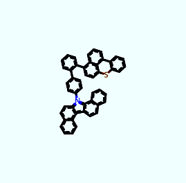 c1ccc2c(c1)Sc1ccc(-c3ccccc3-c3ccc(-n4c5ccc6ccccc6c5c5ccc6ccccc6c54)cc3)c3cccc-2c13